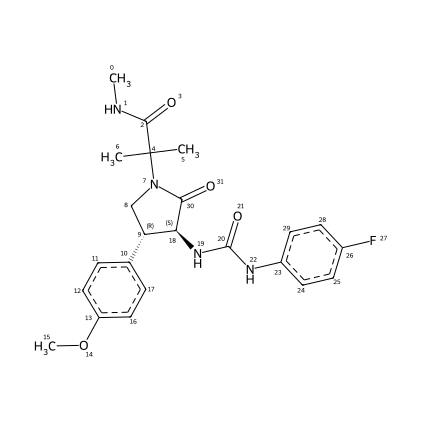 CNC(=O)C(C)(C)N1C[C@@H](c2ccc(OC)cc2)[C@H](NC(=O)Nc2ccc(F)cc2)C1=O